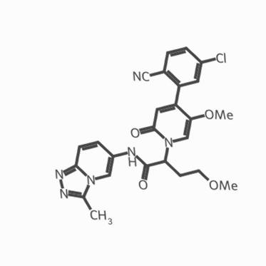 COCCC(C(=O)Nc1ccc2nnc(C)n2c1)n1cc(OC)c(-c2cc(Cl)ccc2C#N)cc1=O